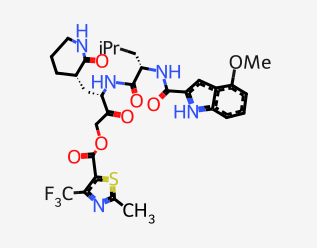 COc1cccc2[nH]c(C(=O)N[C@@H](CC(C)C)C(=O)N[C@@H](C[C@@H]3CCCNC3=O)C(=O)COC(=O)c3sc(C)nc3C(F)(F)F)cc12